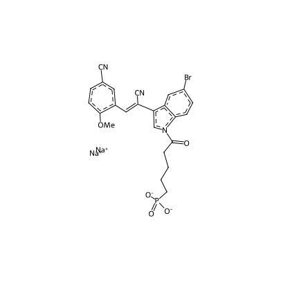 COc1ccc(C#N)cc1/C=C(\C#N)c1cn(C(=O)CCCCP(=O)([O-])[O-])c2ccc(Br)cc12.[Na+].[Na+]